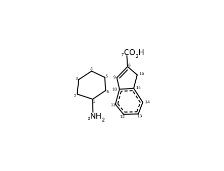 NC1CCCCC1.O=C(O)C1=Cc2ccccc2C1